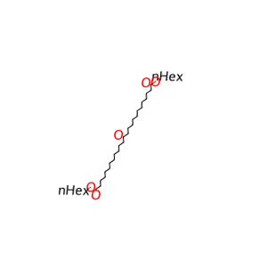 CCCCCCOC(=O)CCCCCCCCCCCC(=O)CCCCCCCCCCCC(=O)OCCCCCC